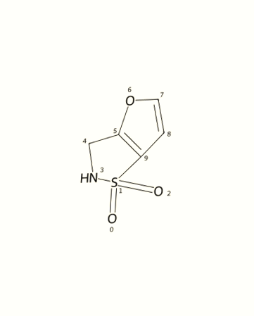 O=S1(=O)NCc2occc21